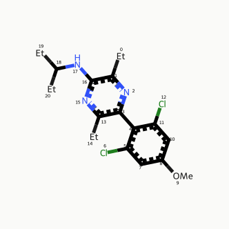 CCc1nc(-c2c(Cl)cc(OC)cc2Cl)c(CC)nc1NC(CC)CC